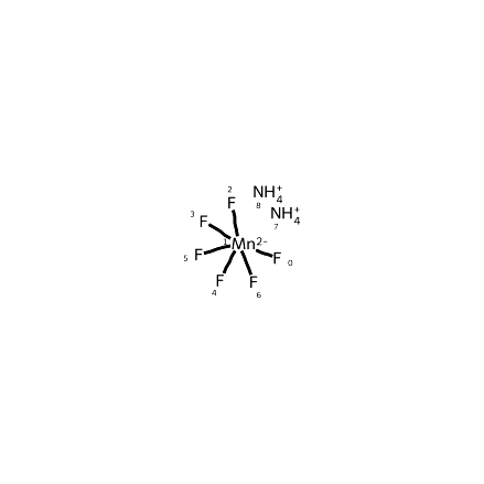 [F][Mn-2]([F])([F])([F])([F])[F].[NH4+].[NH4+]